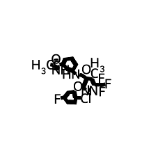 Cc1c(C(F)(F)F)nnc(Oc2cc(F)ccc2Cl)c1C(=O)Nc1cccc(S(C)(=N)=O)c1